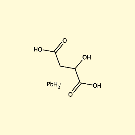 O=C(O)CC(O)C(=O)O.[PbH2]